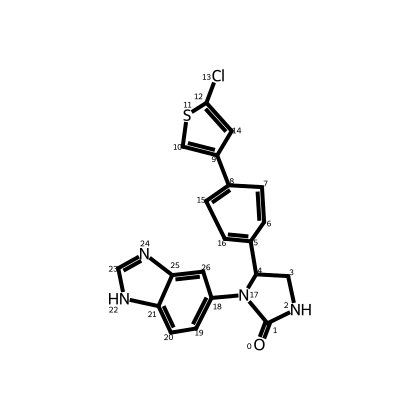 O=C1NCC(c2ccc(-c3csc(Cl)c3)cc2)N1c1ccc2[nH]cnc2c1